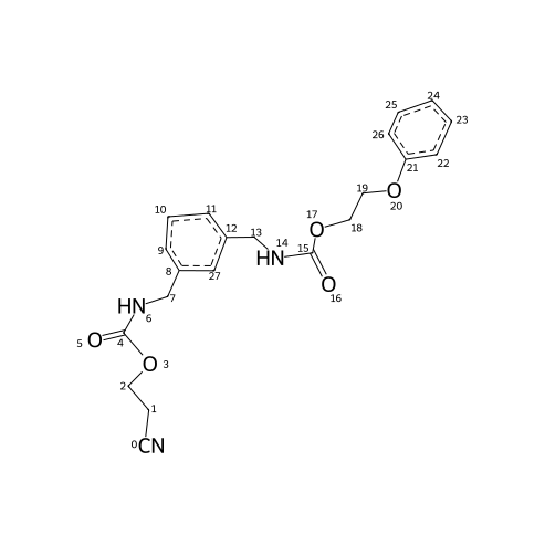 N#CCCOC(=O)NCc1cccc(CNC(=O)OCCOc2ccccc2)c1